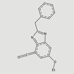 CCOc1cc2c(c(=C=O)c1)=NC(Cc1ccccc1)=N2